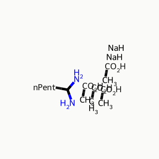 CC(=O)O.CC(=O)O.CC(=O)O.CC(=O)O.CCCCCC(N)N.[NaH].[NaH]